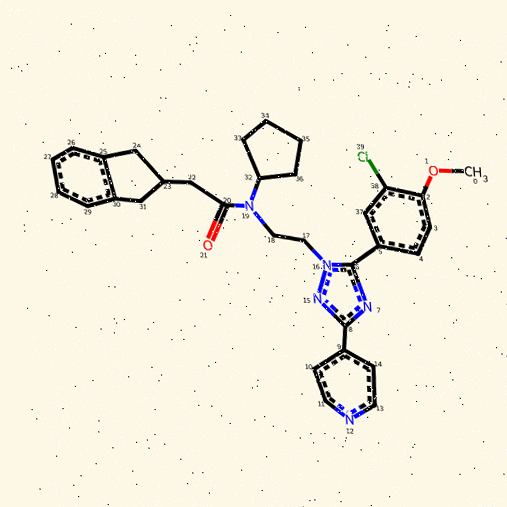 COc1ccc(-c2nc(-c3ccncc3)nn2CCN(C(=O)CC2Cc3ccccc3C2)C2CCCC2)cc1Cl